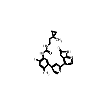 Cc1cc(F)c(NC(=O)NCCC2(C)CC2)cc1-c1ccnc(-c2ccnc3c2CC(=O)N3)c1